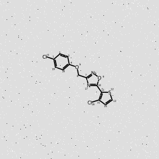 Clc1ccc(OCc2noc(-c3sccc3Cl)n2)cc1